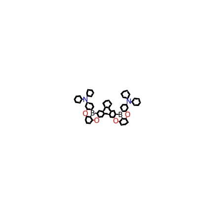 c1ccc(N(c2ccccc2)c2ccc3c(c2)Oc2cccc4c2B3c2cc3c5ccccc5c5cc6c(cc5c3cc2O4)Oc2cccc3c2B6c2ccc(N(c4ccccc4)c4ccccc4)cc2O3)cc1